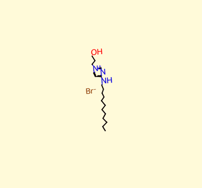 CCCCCCCCCCCCNc1cc[n+](CCCO)cn1.[Br-]